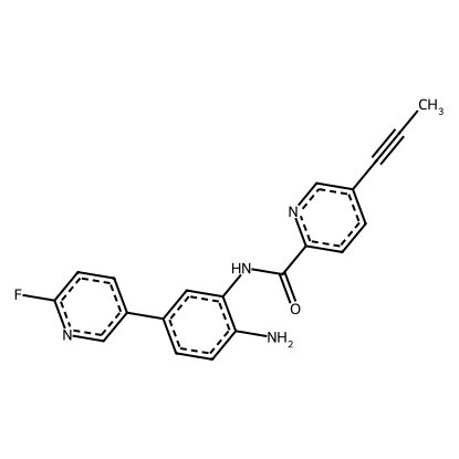 CC#Cc1ccc(C(=O)Nc2cc(-c3ccc(F)nc3)ccc2N)nc1